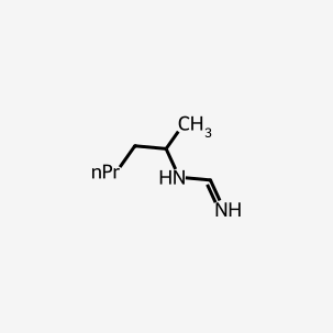 CCCCC(C)NC=N